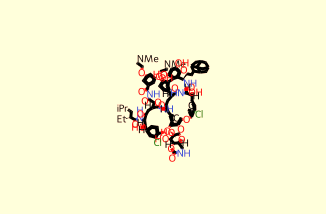 CC[C@H](CC(C)C)C(=O)N[C@H]1C(=O)C[C@@H](CC(=O)NC(=O)c2cc(OCCNC)cc(OCCNC)c2)C(=O)N[C@H]2C(=O)C[C@H]3C(=O)N[C@H](C(=O)N[C@H](C(=O)CC4C5CC6CC(C5)CC4C6)c4cc(O)cc(O)c4-c4cc3ccc4O)[C@H](O)c3ccc(c(Cl)c3)Oc3cc2cc(c3O[C@@H]2O[C@@H]3CNC(=O)O[C@H]3[C@H](O)[C@H]2O)Oc2ccc(cc2Cl)[C@H]1O